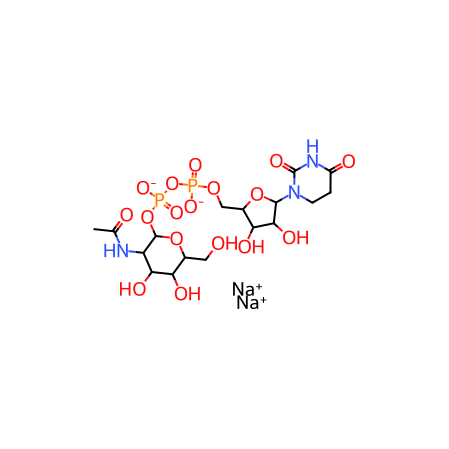 CC(=O)NC1C(OP(=O)([O-])OP(=O)([O-])OCC2OC(N3CCC(=O)NC3=O)C(O)C2O)OC(CO)C(O)C1O.[Na+].[Na+]